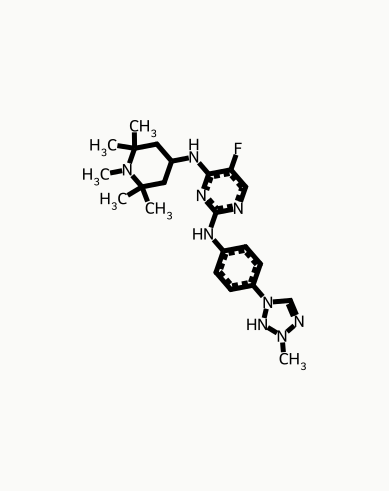 CN1N=CN(c2ccc(Nc3ncc(F)c(NC4CC(C)(C)N(C)C(C)(C)C4)n3)cc2)N1